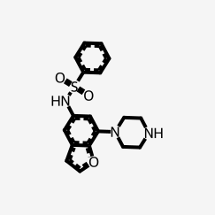 O=S(=O)(Nc1cc(N2CCNCC2)c2occc2c1)c1ccccc1